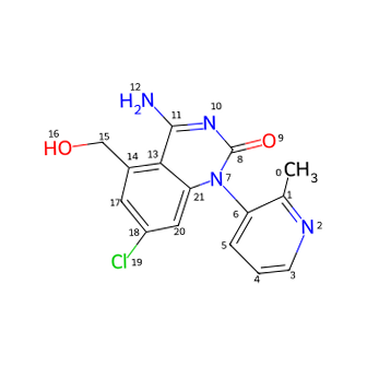 Cc1ncccc1-n1c(=O)nc(N)c2c(CO)cc(Cl)cc21